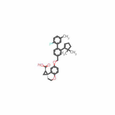 Cc1ccc(F)c(-c2ccc(COc3ccc4c(c3)[C@@]3(CCO4)C[C@H]3C(=O)O)cc2C2=CCCC2(C)C)c1